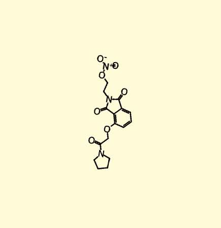 O=C(COc1cccc2c1C(=O)N(CCO[N+](=O)[O-])C2=O)N1CCCC1